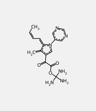 C=c1c(C(=O)C(=O)OC(N)(N)N)cn(-c2cncnc2)/c1=C/C=C\C